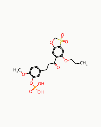 CCCOc1cc2c(cc1C(=O)CCc1ccc(OC)c(OP(=O)(O)O)c1)OCS2(=O)=O